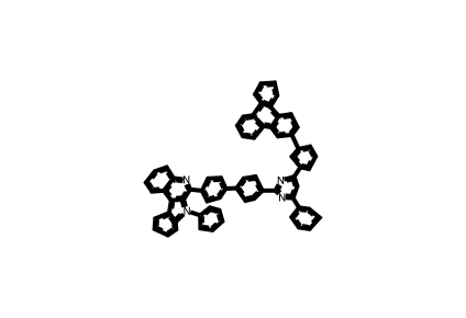 c1ccc(-c2cc(-c3cccc(-c4ccc5c6ccccc6c6ccccc6c5c4)c3)nc(-c3ccc(-c4ccc(-c5nc6ccccc6c6c7ccccc7n(-c7ccccc7)c56)cc4)cc3)n2)cc1